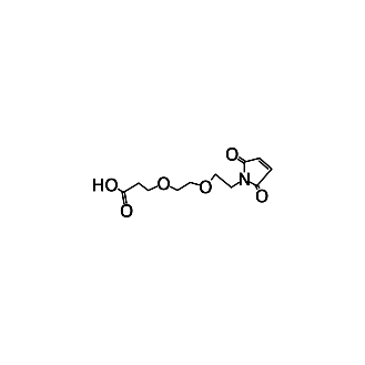 O=C(O)CCOCCOCCN1C(=O)C=CC1=O